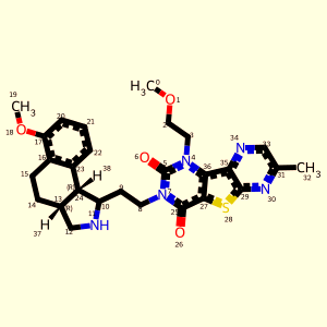 COCCn1c(=O)n(CCC2NC[C@@H]3CCc4c(OC)cccc4[C@H]23)c(=O)c2sc3nc(C)cnc3c21